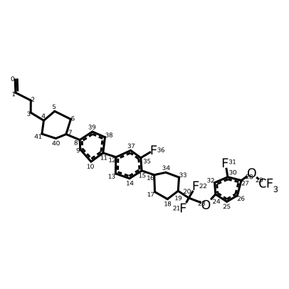 C=CCCC1CCC(c2ccc(-c3ccc(C4CCC(C(F)(F)Oc5ccc(OC(F)(F)F)c(F)c5)CC4)c(F)c3)cc2)CC1